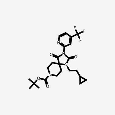 CC(C)(C)OC(=O)N1CCC2(CC1)C(=O)N(c1cc(C(F)(F)F)ccn1)C(=O)N2CCC1CC1